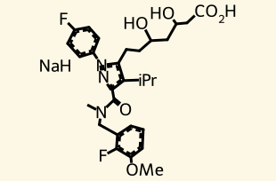 COc1cccc(CN(C)C(=O)c2nn(-c3ccc(F)cc3)c(CCC(O)CC(O)CC(=O)O)c2C(C)C)c1F.[NaH]